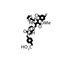 COC(=O)C1=C(CN2CCN3C(=O)N(Cc4ccc(CC(=O)O)cc4)C[C@@H]3C2)NC(c2nccs2)=N[C@H]1c1ccc(F)cc1Cl